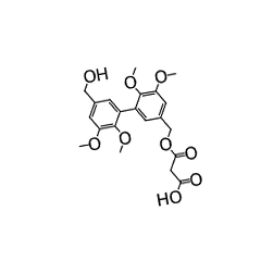 COc1cc(CO)cc(-c2cc(COC(=O)CC(=O)O)cc(OC)c2OC)c1OC